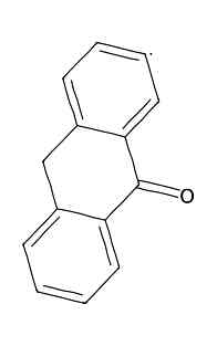 O=C1c2c[c]ccc2Cc2ccccc21